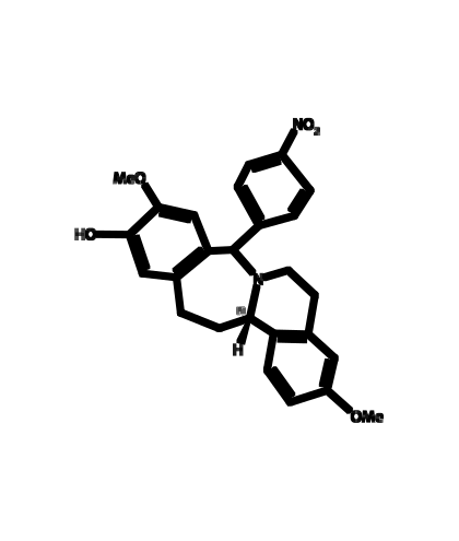 COc1ccc2c(c1)CCN1C(c3ccc([N+](=O)[O-])cc3)c3cc(OC)c(O)cc3CC[C@@H]21